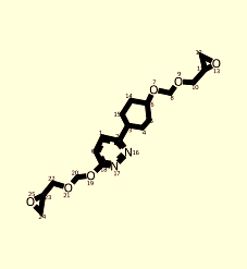 c1cc(C2CCC(OCOCC3CO3)CC2)nnc1OCOCC1CO1